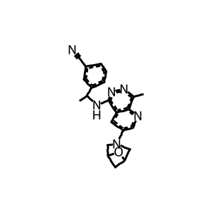 Cc1nnc(NC(C)c2cccc(C#N)c2)c2cc(N3CC4CC(C3)O4)cnc12